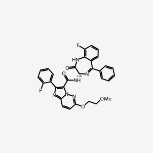 COCCOc1ccc2nc(-c3ccccc3F)c(C(=O)N[C@H]3N=C(c4ccccc4)c4cccc(F)c4NC3=O)n2n1